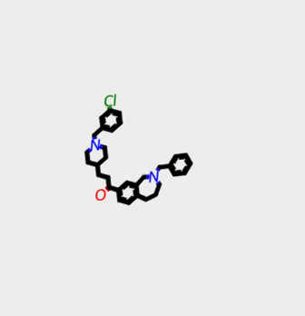 O=C(CCC1CCN(Cc2cccc(Cl)c2)CC1)c1ccc2c(c1)CN(Cc1ccccc1)CCC2